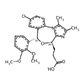 COc1cccc([C@H]2O[C@H](CCC(=O)O)c3nc(C)c(C)n3-c3ccc(Cl)cc32)c1OC